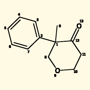 CC1(c2ccccc2)COCCC1=O